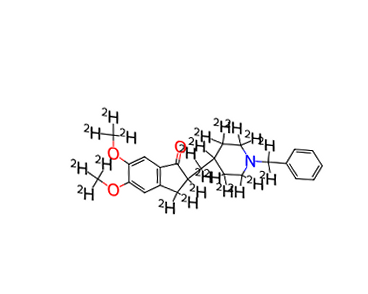 [2H]C([2H])([2H])Oc1cc2c(cc1OC([2H])([2H])[2H])C([2H])([2H])C([2H])(C([2H])([2H])C1([2H])C([2H])([2H])C([2H])([2H])N(C([2H])([2H])c3ccccc3)C([2H])([2H])C1([2H])[2H])C2=O